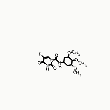 COC1CC(NC(=O)n2cc(F)c(=O)[nH]c2=O)CC(OC)C1OC